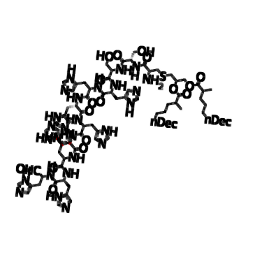 CCCCCCCCCCCCCC(C)C(=O)OCC(CSCC(N)C(=O)N[C@@H](CO)C(=O)NC(CO)C(=O)N[C@@H](Cc1cnc[nH]1)C(=O)NC(Cc1cnc[nH]1)C(=O)N[C@@H](Cc1cnc[nH]1)C(=O)NC(Cc1cnc[nH]1)C(=O)N[C@@H](Cc1cnc[nH]1)C(=O)NC(Cc1cnc[nH]1)C(=O)N[C@@H](Cc1cnc[nH]1)C(=O)NC(C=O)Cc1cnc[nH]1)OC(=O)C(C)CCCCCCCCCCCCC